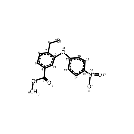 COC(=O)c1ccc(CBr)c(Oc2ccc([N+](=O)[O-])cc2)c1